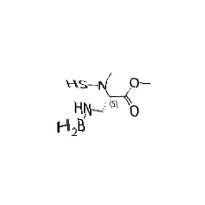 BNC[C@@H](C(=O)OC)N(C)S